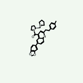 Cc1ccc(CCc2cc(C(=O)N3CCC[C@H]3CN3CCCC3)c3cc(-c4ccc5c(c4)OCO5)ccc3n2)cc1